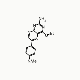 CCOc1nc(N)nc2ncc(-c3ccc(NC)cc3)nc12